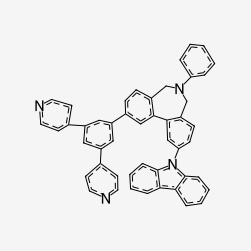 c1ccc(N2Cc3ccc(-c4cc(-c5ccncc5)cc(-c5ccncc5)c4)cc3-c3cc(-n4c5ccccc5c5ccccc54)ccc3C2)cc1